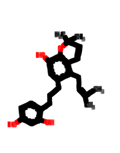 CC(C)=CCc1c(CCCc2ccc(O)cc2O)cc(O)c2c1C=CC(C)(C)O2